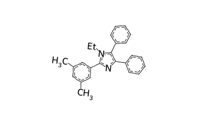 CCn1c(-c2cc(C)cc(C)c2)nc(-c2ccccc2)c1-c1ccccc1